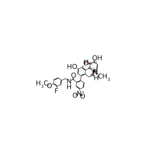 COc1ccc(CNC(=O)c2cc([N+](=O)[O-])ccc2-c2cc(O)c3c4c2C[C@@H]2[C@@H]5C=C[C@H](O)[C@H](O3)[C@]45CCN2C)cc1F